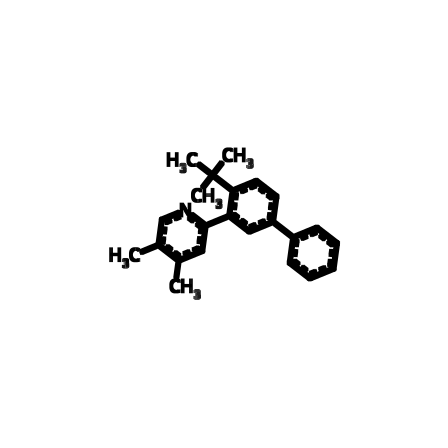 Cc1cnc(-c2cc(-c3ccccc3)ccc2C(C)(C)C)cc1C